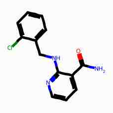 NC(=O)c1cccnc1NCc1ccccc1Cl